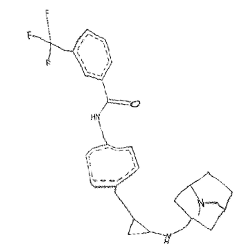 CN1C2CCC1CC(NC1CC1c1ccc(NC(=O)c3cccc(C(F)(F)F)c3)cc1)C2